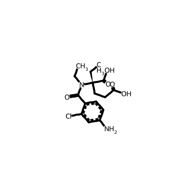 CCN(C(=O)c1ccc(N)cc1Cl)[C@@](CC)(CCC(=O)O)C(=O)O